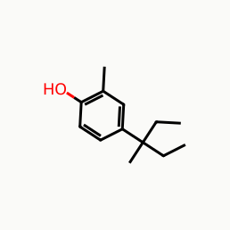 CCC(C)(CC)c1ccc(O)c(C)c1